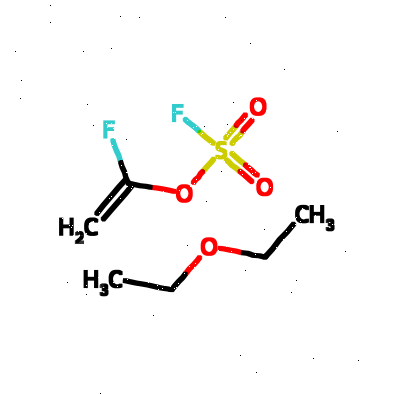 C=C(F)OS(=O)(=O)F.CCOCC